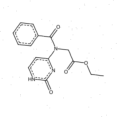 CCOC(=O)CN(C(=O)c1ccccc1)c1cc[nH]c(=O)n1